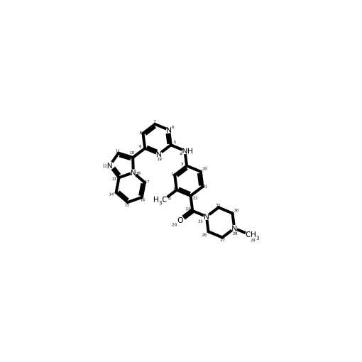 Cc1cc(Nc2nccc(-c3cnc4ccccn34)n2)ccc1C(=O)N1CCN(C)CC1